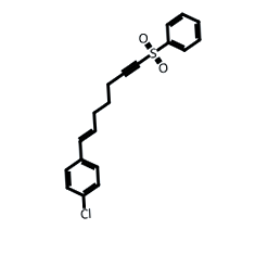 O=S(=O)(C#CCCCC=Cc1ccc(Cl)cc1)c1ccccc1